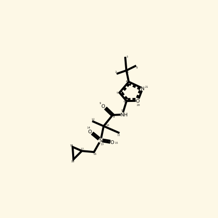 CC(C)(C)c1cc(NC(=O)C(C)(C)S(=O)(=O)CC2CC2)on1